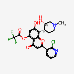 CN1CC[C@H](c2c(O)cc(OC(=O)C(F)(F)F)c3c(=O)cc(-c4cccnc4Cl)oc23)[C@H](O)C1